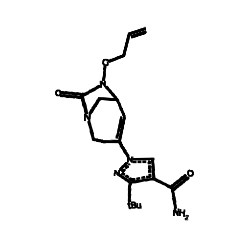 C=CCON1C(=O)N2CC(n3cc(C(N)=O)c(C(C)(C)C)n3)=CC1C2